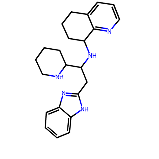 c1cnc2c(c1)CCCC2NC(Cc1nc2ccccc2[nH]1)C1CCCCN1